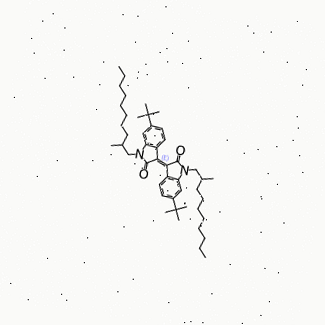 CCCCCCCCC(C)CN1C(=O)/C(=C2/C(=O)N(CC(C)CCCCCCCC)c3cc(C(C)(C)C)ccc32)c2ccc(C(C)(C)C)cc21